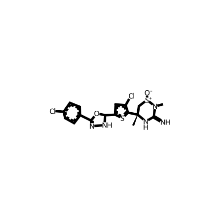 CN1C(=N)N[C@](C)(c2sc(C3NN=C(c4ccc(Cl)cc4)O3)cc2Cl)C[S+]1[O-]